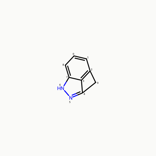 c1cc2c3c(n[nH]c3c1)C2